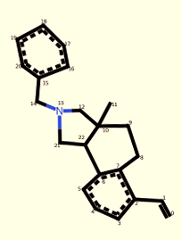 C=Cc1cccc2c1CCC1(C)CN(Cc3ccccc3)CC21